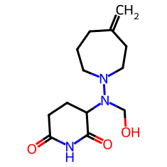 C=C1CCCN(N(CO)C2CCC(=O)NC2=O)CC1